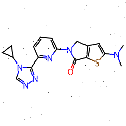 CN(C)c1cc2c(s1)C(=O)N(c1cccc(-c3nncn3C3CC3)n1)C2